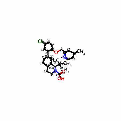 Cc1ccnc(COc2ccc(Cl)cc2-c2ccc3c(c2)C(C(C)(C)C)N(C(=O)O)CC3)c1